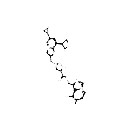 O=C(NCc1ncn2ccc(Cl)c(F)c12)c1cn(Cc2cn3cc(C4CC4)cc(C4COC4)c3n2)nn1